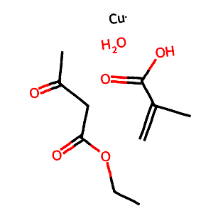 C=C(C)C(=O)O.CCOC(=O)CC(C)=O.O.[Cu]